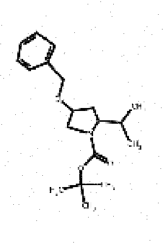 CC(C)C1CC(OCc2ccccc2)CN1C(=O)OC(C)(C)C